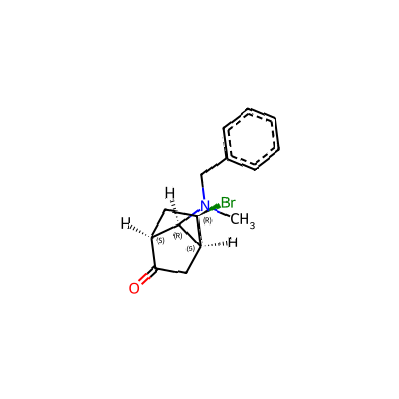 CN(Cc1ccccc1)[C@H]1[C@@H]2CC(=O)[C@H]1C[C@H]2Br